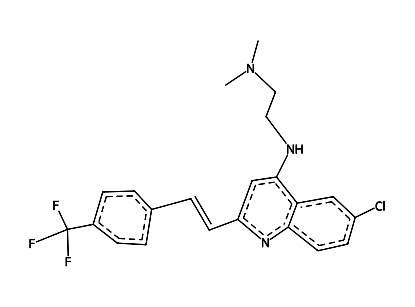 CN(C)CCNc1cc(/C=C/c2ccc(C(F)(F)F)cc2)nc2ccc(Cl)cc12